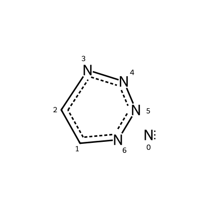 [N].c1cnnnn1